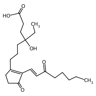 CCCCCC(=O)C=CC1=C(CCCC(O)(CC)CCC(=O)O)CCC1=O